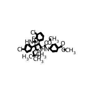 COC(=O)c1ccc(NC(=O)[C@@H]2N[C@@H](CC(C)(C)C)[C@@]3(C(=O)Nc4cc(Cl)ccc43)[C@H]2c2cccc(Cl)c2F)c(OC)c1